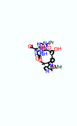 CCn1c(-c2cccnc2[C@H](C)OC)c2c3cc(ccc31)-c1cc(O)cc(c1)C[C@H](NC(=O)C(C(C)C)N(C)C(=O)CN(C)C(=O)[C@@H]1NC1C1COC1)C(=O)N1CCC[C@H](N1)C(=O)OCC(C)(C)C2